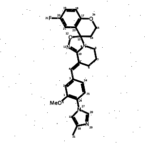 COc1cc(/C=C2\CCCN3C2=NOC32CCOc3ccc(F)cc32)ccc1-n1cnc(C)c1